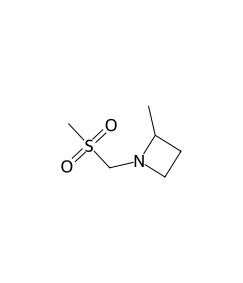 CC1CCN1CS(C)(=O)=O